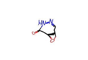 O=C1NN=CC2OC12